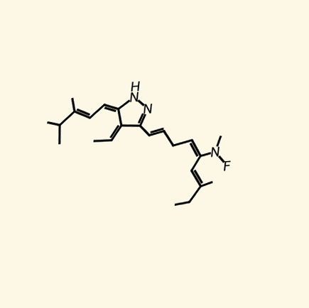 C/C=c1/c(/C=C/C/C=C(\C=C(/C)CC)N(C)F)n[nH]/c1=C/C=C(\C)C(C)C